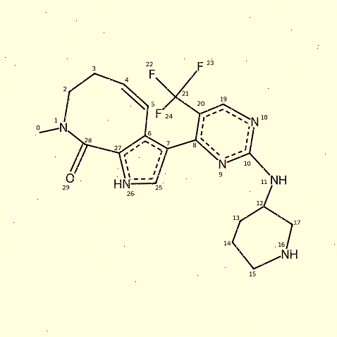 CN1CCC=Cc2c(-c3nc(NC4CCCNC4)ncc3C(F)(F)F)c[nH]c2C1=O